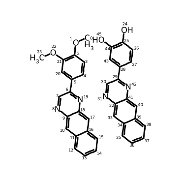 COc1ccc(-c2cnc3cc4ccccc4cc3n2)cc1OC.Oc1ccc(-c2cnc3cc4ccccc4cc3n2)cc1O